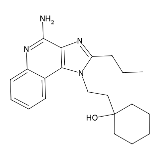 CCCc1nc2c(N)nc3ccccc3c2n1CCC1(O)CCCCC1